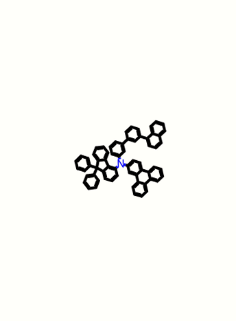 c1ccc(C2(c3ccccc3)c3ccccc3-c3c(N(c4cccc(-c5cccc(-c6cccc7ccccc67)c5)c4)c4ccc5c6ccccc6c6ccccc6c5c4)cccc32)cc1